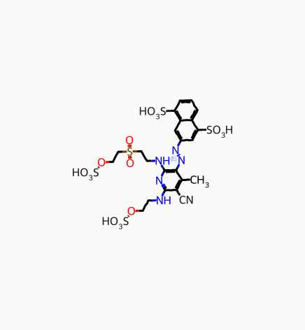 Cc1c(C#N)c(NCCOS(=O)(=O)O)nc(NCCS(=O)(=O)CCOS(=O)(=O)O)c1/N=N/c1cc(S(=O)(=O)O)c2cccc(S(=O)(=O)O)c2c1